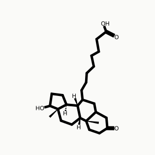 C[C@]12CCC(=O)CC1CC(CCCCCCCC(=O)O)[C@@H]1[C@H]2CC[C@]2(C)C(O)CC[C@@H]12